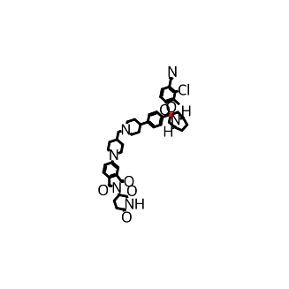 Cc1c(OC2C[C@H]3CC[C@@H](C2)N3C(=O)c2ccc(C3CCN(CC4CCN(c5ccc6c(c5)C(=O)N(C5CCC(=O)NC5=O)C6=O)CC4)CC3)cc2)ccc(C#N)c1Cl